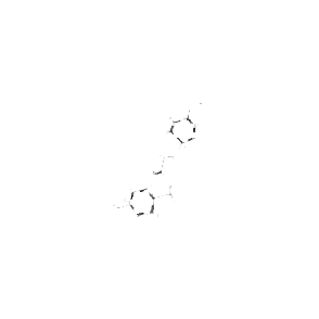 CCC(C)c1ccc(OCC(=O)OC(C)c2ccc(C)cc2)cc1